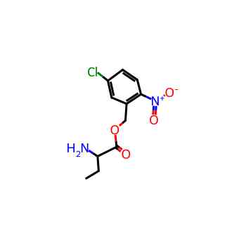 CCC(N)C(=O)OCc1cc(Cl)ccc1[N+](=O)[O-]